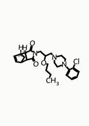 CCCCOC(CN1CCN(c2ccccc2Cl)CC1)CN1C(=O)C2C3C=C[C@@H](C3)[C@@H]2C1=O